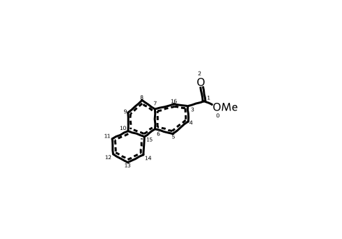 COC(=O)c1ccc2c(ccc3ccccc32)c1